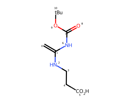 C=C(NCCC(=O)O)NC(=O)OC(C)(C)C